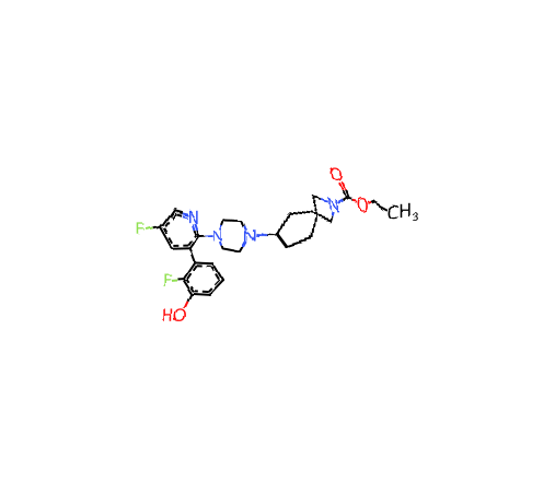 CCOC(=O)N1CC2(CC[C@@H](N3CCN(c4ncc(F)cc4-c4cccc(O)c4F)CC3)C2)C1